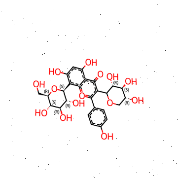 O=c1c(C2OC[C@@H](O)[C@H](O)[C@H]2O)c(-c2ccc(O)cc2)oc2c([C@@H]3O[C@H](CO)[C@@H](O)[C@H](O)[C@H]3O)c(O)cc(O)c12